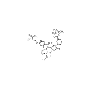 C[C@H]1CN(c2cc(F)c(C3=CCCN(C(=O)OC(C)(C)C)C3)c(F)c2NC(=O)c2cnc(OCC[Si](C)(C)C)cc2C(F)F)CCN1C